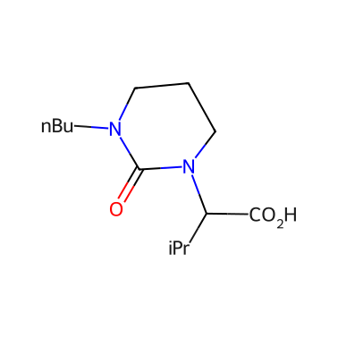 CCCCN1CCCN(C(C(=O)O)C(C)C)C1=O